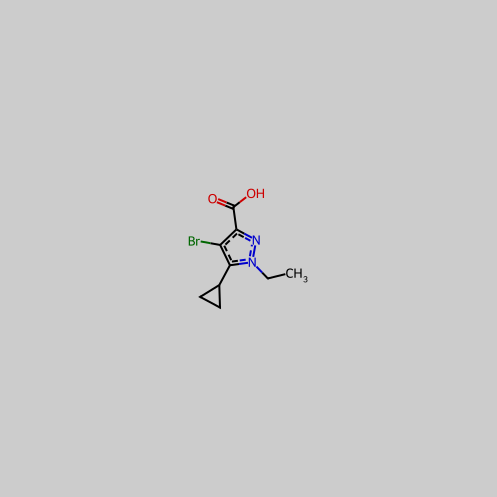 CCn1nc(C(=O)O)c(Br)c1C1CC1